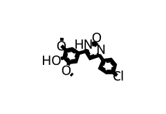 COc1cc(-c2cc(-c3ccc(Cl)cc3)nc(=O)[nH]2)cc(OC)c1O